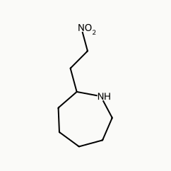 O=[N+]([O-])CCC1CCCCCN1